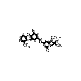 CC(C)(C)C1(C)Cn2c(cc(OCc3cc(F)c(Oc4ccnc(C(F)(F)F)c4)c(F)c3)nc2=O)N1C(=O)O